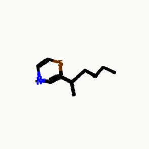 CCCCC(C)C1=C[N]C=CS1